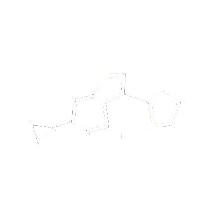 Cc1nc(C2CC2)nc2scc(-c3cccs3)c12